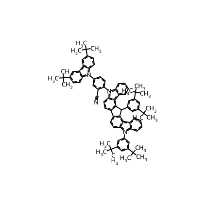 CC(C)(C)c1cc(C2c3c(ccc4c3c3ccccc3n4-c3cc(C(C)(C)C)cc(C(C)(C)C)c3)-c3ccc4c(c32)c2ccccc2n4-c2ccc(-n3c4ccc(C(C)(C)C)cc4c4cc(C(C)(C)C)ccc43)cc2C#N)cc(C(C)(C)C)c1